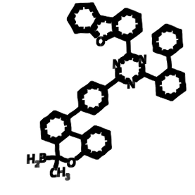 BC1(C)Oc2ccccc2-c2c(-c3ccc(-c4nc(-c5ccccc5-c5ccccc5)nc(-c5cccc6c5oc5ccccc56)n4)cc3)cccc21